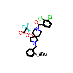 CC(C)COc1ccccc1CN1CCC2(CCN(C(=O)c3cccc(Cl)c3Cl)CC2)C1.O=C(O)C(F)(F)F